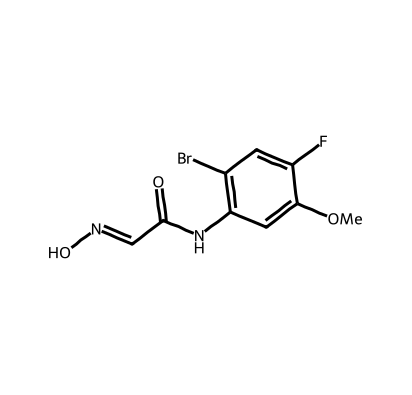 COc1cc(NC(=O)C=NO)c(Br)cc1F